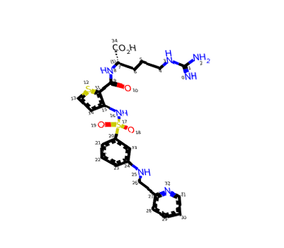 N=C(N)NCCC[C@H](NC(=O)c1sccc1NS(=O)(=O)c1cccc(NCc2ccccn2)c1)C(=O)O